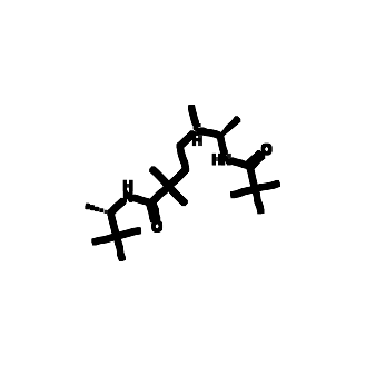 C[C@H](NC(=O)C(C)(C)CC[SH](C)[C@@H](C)NC(=O)C(C)(C)C)C(C)(C)C